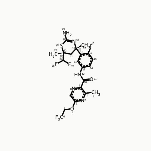 Cc1nc(OCC(F)(F)F)cnc1C(=O)Nc1ccc(F)c([C@]2(C)C[C@](C)(C(F)F)SC(N)=N2)c1